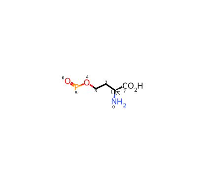 N[C@@H](CCOP=O)C(=O)O